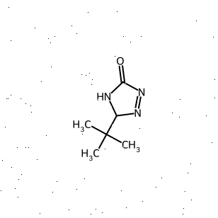 CC(C)(C)C1N=NC(=O)N1